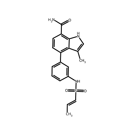 CC=CS(=O)(=O)Nc1cccc(-c2ccc(C(N)=O)c3[nH]cc(C)c23)c1